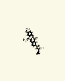 COc1ccc(Cn2ccc3ccc(NCC(O)C4CC4)cc3c2=O)c(OC)c1